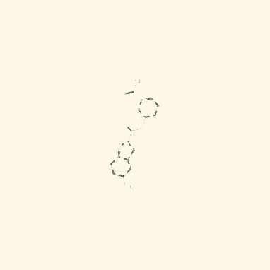 COc1ccc2[nH]c(C(=O)Nc3cccc(C(N)=O)c3)cc2c1